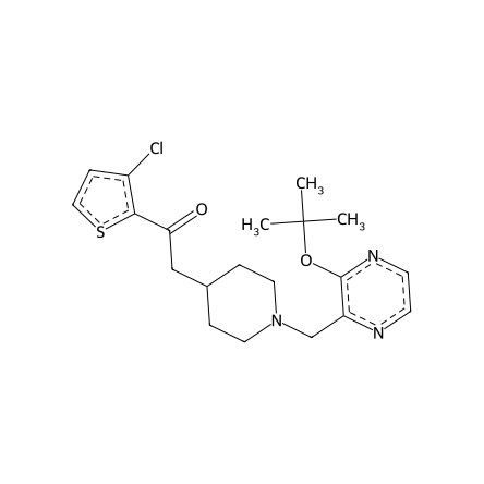 CC(C)(C)Oc1nccnc1CN1CCC(CC(=O)c2sccc2Cl)CC1